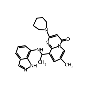 Cc1cc(C(C)Nc2cccc3cn[nH]c23)c2nc(N3CCCCC3)cc(=O)n2c1